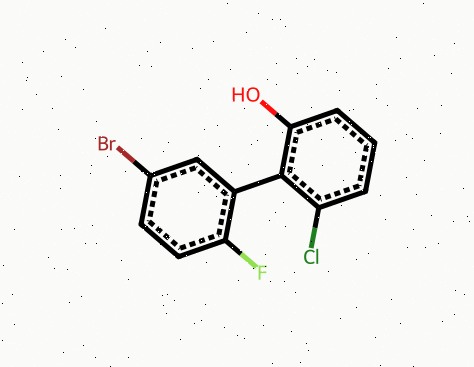 Oc1cccc(Cl)c1-c1cc(Br)ccc1F